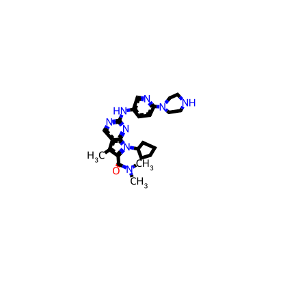 Cc1c(C(=O)N(C)C)n(C2CCCC2)c2nc(Nc3ccc(N4CCNCC4)nc3)ncc12